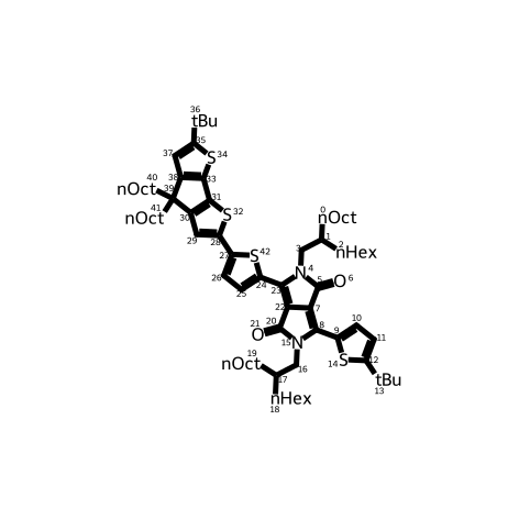 CCCCCCCCC(CCCCCC)CN1C(=O)C2=C(c3ccc(C(C)(C)C)s3)N(CC(CCCCCC)CCCCCCCC)C(=O)C2=C1c1ccc(-c2cc3c(s2)-c2sc(C(C)(C)C)cc2C3(CCCCCCCC)CCCCCCCC)s1